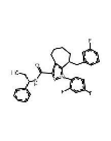 O=C(N[C@H](CO)c1ccccc1)c1nn(-c2ccc(F)cc2F)c2c1CCCCC2Cc1cccc(F)c1